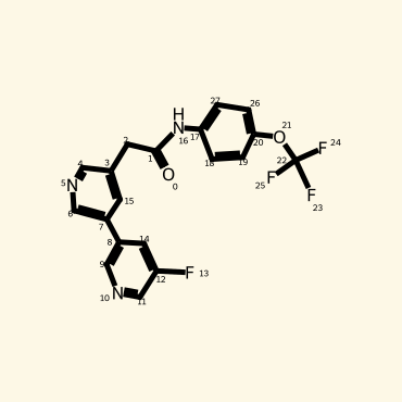 O=C(Cc1cncc(-c2cncc(F)c2)c1)Nc1ccc(OC(F)(F)F)cc1